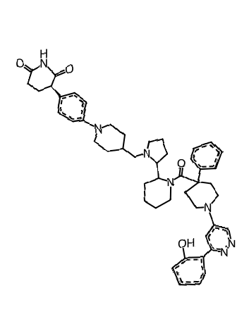 O=C1CC[C@H](c2ccc(N3CCC(CN4CCCC4C4CCCCN4C(=O)C4(c5ccccc5)CCN(c5cnnc(-c6ccccc6O)c5)CC4)CC3)cc2)C(=O)N1